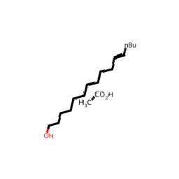 CC(=O)O.CCCCC=CCCCCCCCCCCO